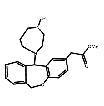 COC(=O)Cc1ccc2c(c1)C(N1CCCN(C)CC1)c1ccccc1CO2